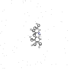 COC(=O)C/C(=C/c1cc(OC)c(OC)c(OC)c1)C(=O)OC